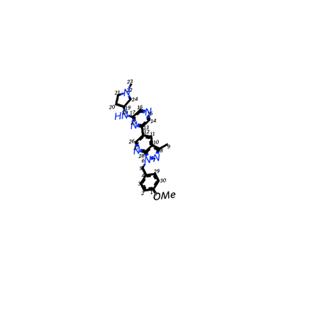 COc1ccc(Cn2nc(C)c3cc(-c4cncc(NC5CCN(C)C5)n4)cnc32)cc1